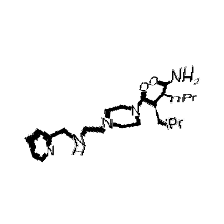 CCC[C@H](C(N)=O)[C@@H](CC(C)C)C(=O)N1CCN(CCNCc2ccccn2)CC1